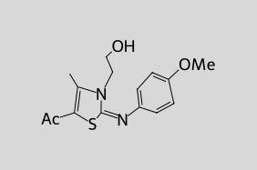 COc1ccc(N=c2sc(C(C)=O)c(C)n2CCO)cc1